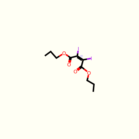 CCCOC(=O)/C(I)=C(/I)C(=O)OCCC